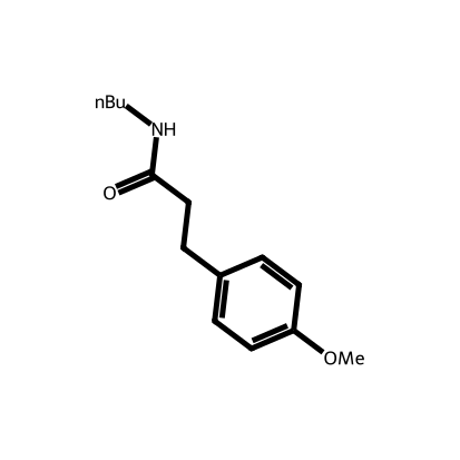 CCCCNC(=O)CCc1ccc(OC)cc1